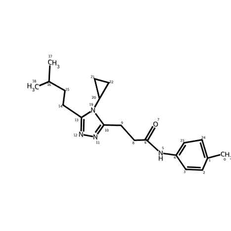 Cc1ccc(NC(=O)CCc2nnc(CCC(C)C)n2C2CC2)cc1